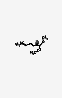 COC(OC)[SiH2]CCCN